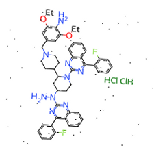 CCOc1cc(CN2CCC(C3CC(N(N)c4nc(-c5ccccc5F)c5ccccc5n4)CCN3c3nc(-c4ccccc4F)c4ccccc4n3)CC2)cc(OCC)c1N.Cl.Cl